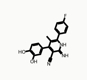 Cc1c(-c2ccc(F)cc2)[nH]c(=N)c(C#N)c1-c1ccc(O)c(O)c1